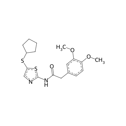 COc1ccc(CC(=O)Nc2ncc(SC3CCCC3)s2)cc1OC